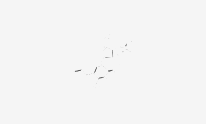 C=CCc1cn([C@@H]2O[C@H](CO)[C@H](OS(C)(=O)=O)[C@H]2O)c(=O)nc1N